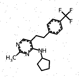 Cc1ncc(CCc2ccc(C(F)(F)F)cc2)c(NC2CCCC2)n1